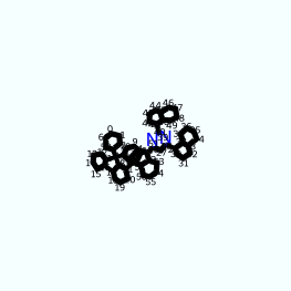 c1ccc(C2(c3ccccc3)c3ccccc3-c3cccc(-c4ccc(-c5cc(-c6cccc7ccccc67)nc(-c6cccc7ccccc67)n5)c5ccccc45)c32)cc1